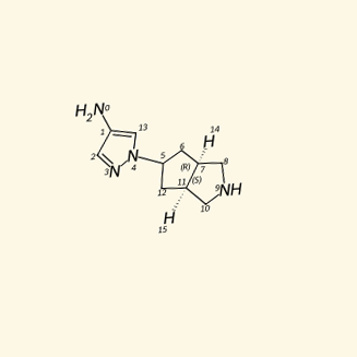 Nc1cnn(C2C[C@H]3CNC[C@H]3C2)c1